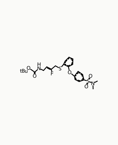 CN(C)S(=O)(=O)c1ccc(Oc2ccccc2SC/C(F)=C/CNC(=O)OC(C)(C)C)cc1